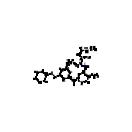 C=C/C(=N\c1cc(Nc2cc(CC)cc(CCC3CCCCC3)c2)ccc1C)c1cnn(C)c1